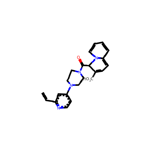 C=Cc1cc(N2CCN(C(=O)C3C(C(=O)OCC)=CC=C4C=CC=CN43)CC2)ccn1